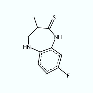 CC1CNc2ccc(F)cc2NC1=S